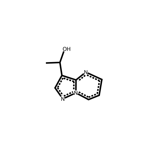 CC(O)c1cnn2cccnc12